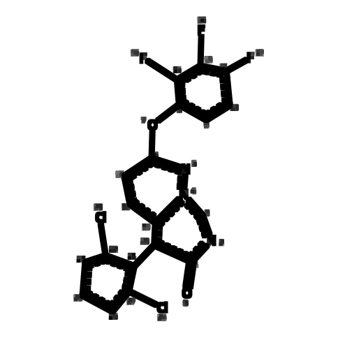 O=c1ncn2nc(Oc3ccc(F)c(F)c3F)ccc2c1-c1c(Cl)cccc1Cl